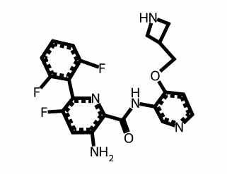 Nc1cc(F)c(-c2c(F)cccc2F)nc1C(=O)Nc1cnccc1OCC1CNC1